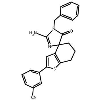 N#Cc1cccc(-c2cc3c(s2)CCCC32N=C(N)N(Cc3ccccc3)C2=O)c1